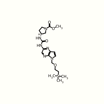 COC(=O)N1CC[C@@H](NC(=O)Nc2cnc3c(ccn3COCC[Si](C)(C)C)n2)C1